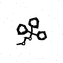 CO[CH]OC(c1ccccc1)(c1ccccc1)c1ccccc1